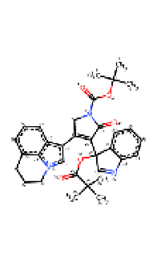 CC(C)(C)OC(=O)N1CC(c2cn3c4c(cccc24)CCC3)=C(C2(OC(=O)C(C)(C)C)C=Nc3ccccc32)C1=O